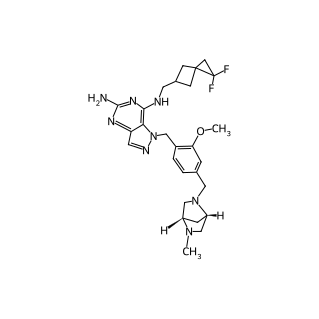 COc1cc(CN2C[C@@H]3C[C@H]2CN3C)ccc1Cn1ncc2nc(N)nc(NCC3CC4(C3)CC4(F)F)c21